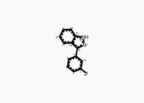 Fc1cccc(-c2n[nH]c3ccccc23)c1